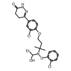 CCC(O)N(Oc1ccccc1Cl)C(C)(C)CCOc1ccc(C2=NNC(=O)CC2)cc1Cl